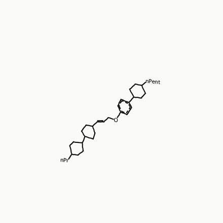 CCCCCC1CCC(c2ccc(OCC=CC3CCC(C4CCC(CCC)CC4)CC3)cc2)CC1